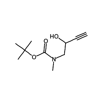 C#CC(O)CN(C)C(=O)OC(C)(C)C